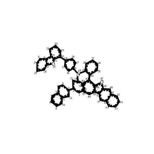 c1cc(-c2ccc3ccccc3c2)cc(N(c2ccc(-c3cccc4c3oc3ccccc34)cc2)c2ccccc2-c2cccc3c2oc2cc4ccccc4cc23)c1